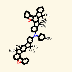 CC(C)(C)c1ccc(N(c2ccc3c(c2)C(C)(C)c2cc4c(cc2-3)C(C)(C)c2ccc3oc5ccccc5c3c2-4)c2ccc3c(c2)C(C)(C)c2c4c(c5c(oc6ccccc65)c2-3)-c2ccccc2C4(C)C)cc1